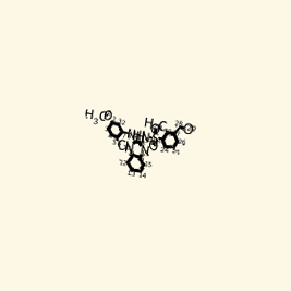 COc1ccc(Cl)c(Nc2nc3ccccc3nc2NS(=O)(=O)c2cccc([C]=O)c2C)c1